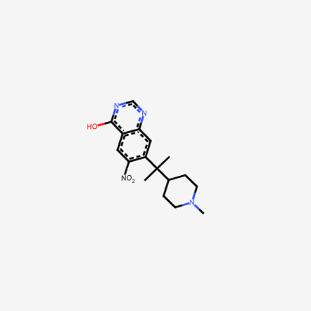 CN1CCC(C(C)(C)c2cc3ncnc(O)c3cc2[N+](=O)[O-])CC1